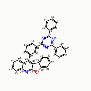 c1ccc(-c2nc(-c3ccccc3)nc(-c3cccc(-c4c5ccccc5nc5oc6ccccc6c45)c3)n2)cc1